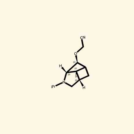 CC(C)N1C[C@H]2CC3[C@H]2[C@H]1[C@H]3OCC#N